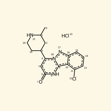 CC1CC(c2cc(=O)[nH]c3c4c(Cl)cccc4nn23)CCN1.Cl